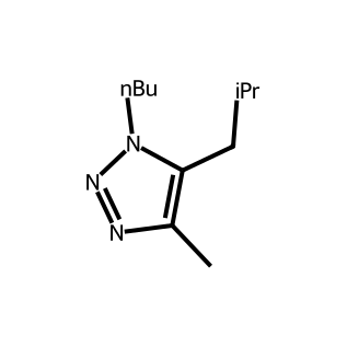 CCCCn1nnc(C)c1CC(C)C